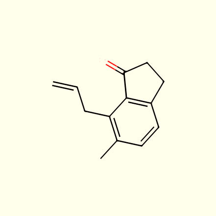 C=CCc1c(C)ccc2c1C(=O)CC2